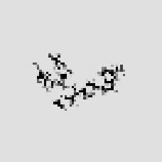 C=C(C)OC(=O)N(CCN(C(=O)OC(C)(C)C)C(=O)OC(C)(C)C)c1ccc(N2CCc3cc(N)ccc32)nn1